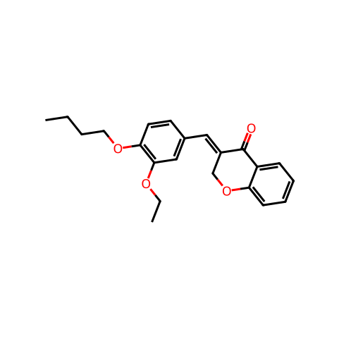 CCCCOc1ccc(/C=C2\COc3ccccc3C2=O)cc1OCC